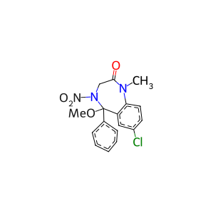 COC1(c2ccccc2)c2cc(Cl)ccc2N(C)C(=O)CN1[N+](=O)[O-]